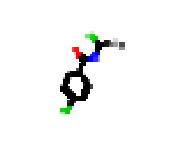 O=C(NC(Cl)C(Cl)(Cl)Cl)c1ccc(Cl)cc1